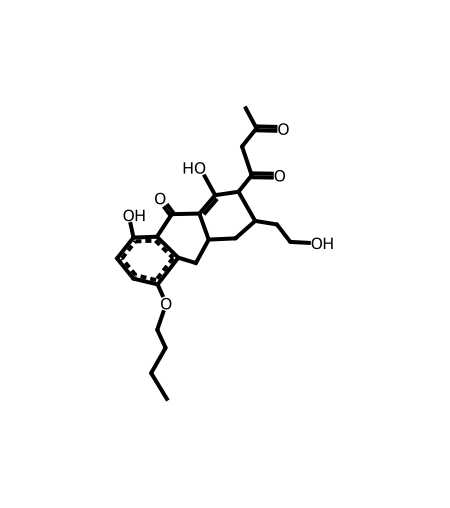 CCCCOc1ccc(O)c2c1CC1CC(CCO)C(C(=O)CC(C)=O)C(O)=C1C2=O